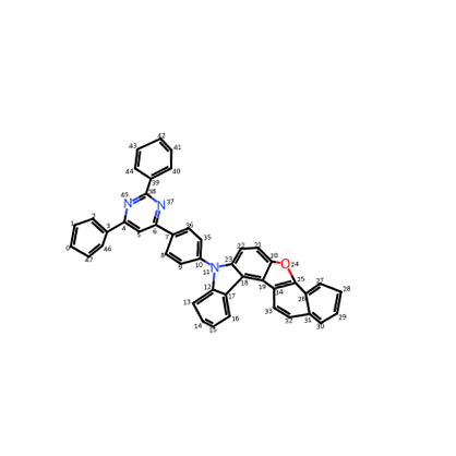 c1ccc(-c2cc(-c3ccc(-n4c5ccccc5c5c6c(ccc54)oc4c5ccccc5ccc46)cc3)nc(-c3ccccc3)n2)cc1